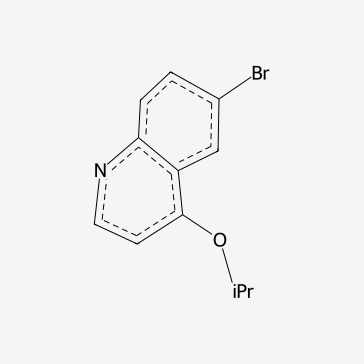 CC(C)Oc1ccnc2ccc(Br)cc12